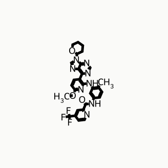 COc1ccc(-c2ncnc3c2ncn3C2CCCCO2)c(Nc2cc(NC(=O)c3cc(C(F)(F)F)ccn3)ccc2C)n1